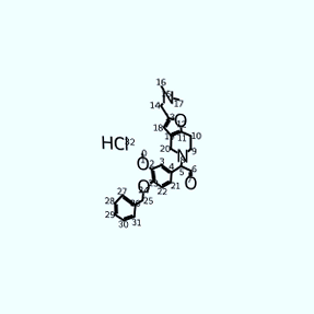 COc1cc(C(C=O)N2CCc3oc(CN(C)C)cc3C2)ccc1OCc1ccccc1.Cl